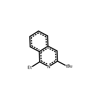 CCc1nc(C(C)(C)C)cc2ccccc12